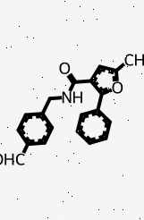 Cc1cc(C(=O)NCc2ccc(C=O)cc2)c(-c2ccccc2)o1